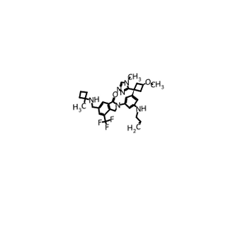 C=CCNc1cc(N2Cc3c(cc(CNC4(C)CCC4)cc3C(F)(F)F)C2=O)cc([C@]2(c3nncn3C)C[C@H](OC)C2)c1